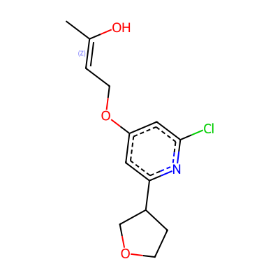 C/C(O)=C/COc1cc(Cl)nc(C2CCOC2)c1